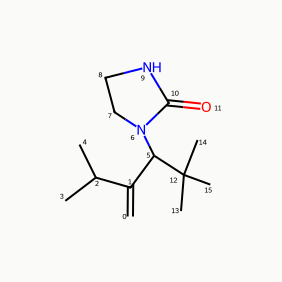 C=C(C(C)C)C(N1CCNC1=O)C(C)(C)C